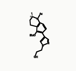 CC(=O)N1c2ccc(-c3cnn(CCO)c3)c(OCC(C)C)c2CC[C@@H]1C